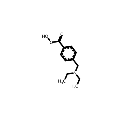 CCN(CC)Cc1ccc(C(=O)OO)cc1